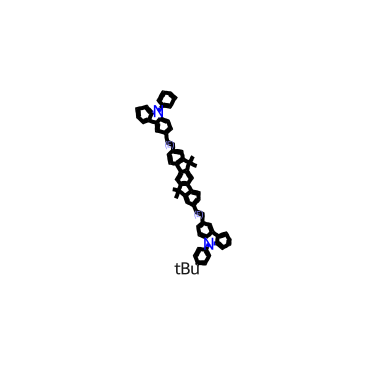 CC(C)(C)c1ccc(-n2c3ccccc3c3cc(/C=C/c4ccc5c(c4)C(C)(C)c4cc6c(cc4-5)C(C)(C)c4cc(/C=C/c5ccc7c(c5)c5ccccc5n7-c5ccccc5)ccc4-6)ccc32)cc1